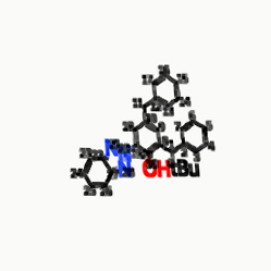 CC(C)(C)C(c1ccccc1)c1cc(Cc2ccccc2)cc(-n2nc3ccccc3n2)c1O